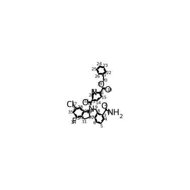 NC(=O)c1ccccc1CN(C(=O)c1ccc(C(=O)OCc2ccccc2)nc1)[C@@H]1CCc2c(F)cc(Cl)cc21